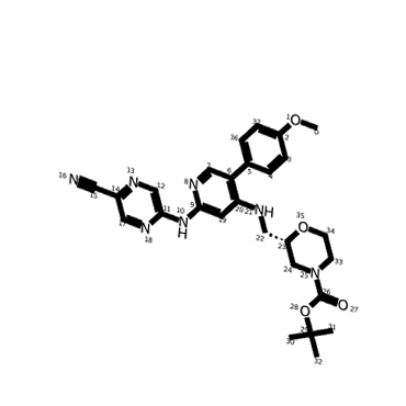 COc1ccc(-c2cnc(Nc3cnc(C#N)cn3)cc2NC[C@H]2CN(C(=O)OC(C)(C)C)CCO2)cc1